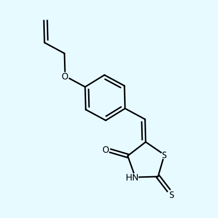 C=CCOc1ccc(/C=C2/SC(=S)NC2=O)cc1